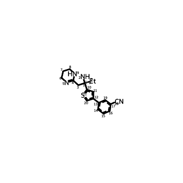 CC[C@](N)(CC1=NCCCN1)c1cc(-c2cccc(C#N)c2)cs1